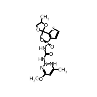 COC1=NN(NC(=O)NS(=O)(=O)c2ccsc2C2(F)OCC(C)O2)NC(C)=C1